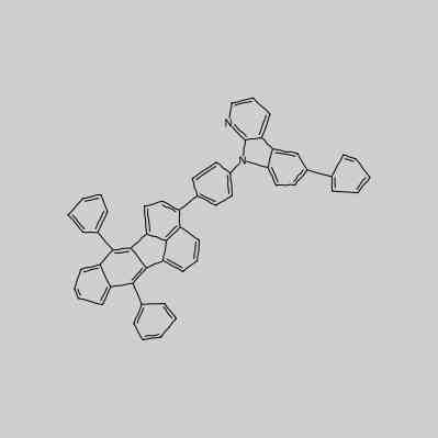 c1ccc(-c2ccc3c(c2)c2cccnc2n3-c2ccc(-c3ccc4c5c(cccc35)-c3c-4c(-c4ccccc4)c4ccccc4c3-c3ccccc3)cc2)cc1